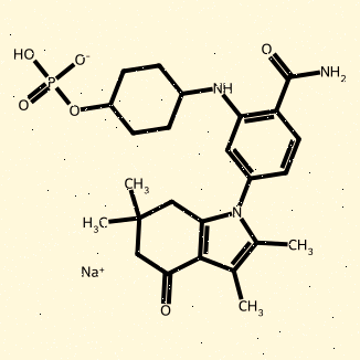 Cc1c2c(n(-c3ccc(C(N)=O)c(NC4CCC(OP(=O)([O-])O)CC4)c3)c1C)CC(C)(C)CC2=O.[Na+]